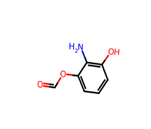 Nc1c(O)cccc1OC=O